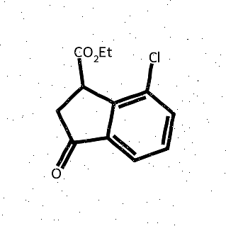 CCOC(=O)C1CC(=O)c2cccc(Cl)c21